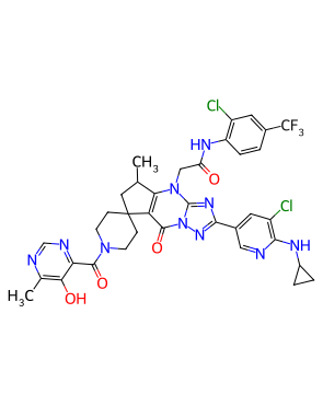 Cc1ncnc(C(=O)N2CCC3(CC2)CC(C)c2c3c(=O)n3nc(-c4cnc(NC5CC5)c(Cl)c4)nc3n2CC(=O)Nc2ccc(C(F)(F)F)cc2Cl)c1O